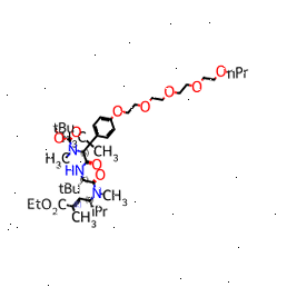 CCCOCCOCCOCCOCCOc1ccc(C(C)(C)[C@@H](C(=O)N[C@H](C(=O)N(C)[C@H](/C=C(\C)C(=O)OCC)C(C)C)C(C)(C)C)N(C)C(=O)OC(C)(C)C)cc1